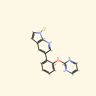 Sn1ccc2cc(-c3ccccc3Oc3ncccn3)cnc21